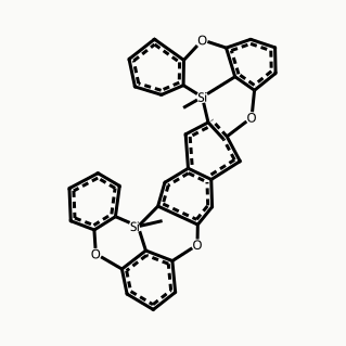 C[Si]12c3ccccc3Oc3cccc(c31)Oc1cc3cc4c(cc3cc12)[Si]1(C)c2ccccc2Oc2cccc(c21)O4